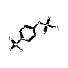 CS(=O)(=O)Oc1ccc(S(=O)(=O)Cl)cc1